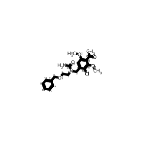 COc1cc(CN(CCOCc2ccccc2)C(N)=O)c(Cl)c(OC)c1C(C)=O